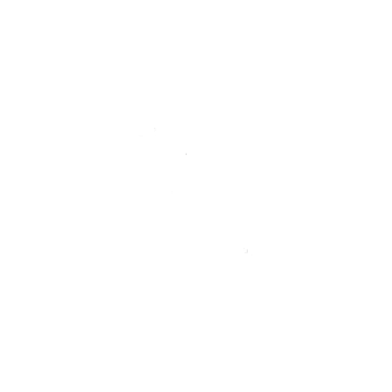 [CH2]CCCCCSCC(F)(F)F